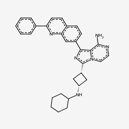 Nc1nccn2c1c(-c1ccc3ccc(-c4ccccc4)nc3c1)nc2[C@H]1C[C@@H](NC2CCCCC2)C1